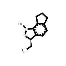 CC[C@H]1OB(O)c2c1ccc1c2CCC1